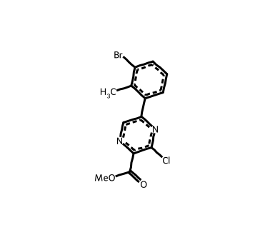 COC(=O)c1ncc(-c2cccc(Br)c2C)nc1Cl